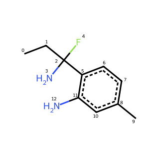 CCC(N)(F)c1ccc(C)cc1N